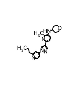 CCCc1cc(-n2cc(-c3ccc(NC4CCOCC4)c(C)n3)cn2)ccn1